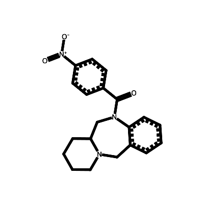 O=C(c1ccc([N+](=O)[O-])cc1)N1CC2CCCCN2Cc2ccccc21